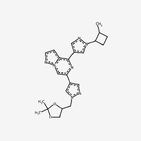 CC1CCC1n1cc(-c2nc(-c3cnn(CC4COC(C)(C)O4)c3)cn3nccc23)cn1